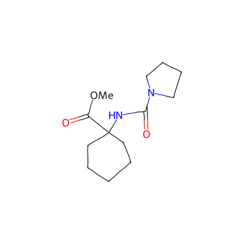 COC(=O)C1(NC(=O)N2CCCC2)CCCCC1